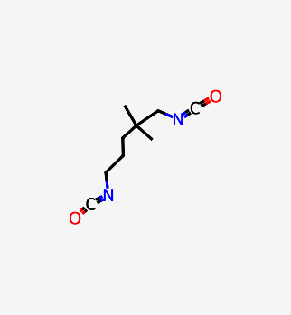 CC(C)(CCCN=C=O)CN=C=O